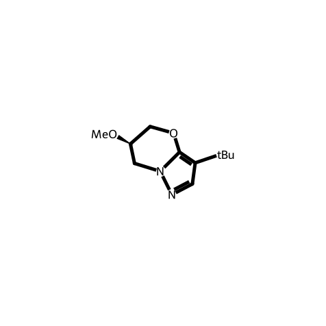 CO[C@H]1COc2c(C(C)(C)C)cnn2C1